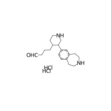 Cl.Cl.O=CCCCC1CCNCC1c1ccc2c(c1)CCNCC2